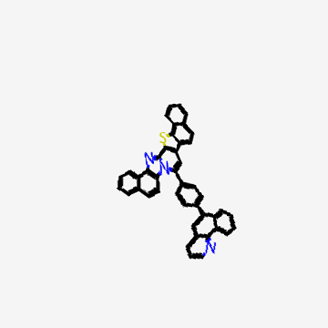 c1ccc2c(c1)ccc1c2nc2c3sc4c5ccccc5ccc4c3cc(-c3ccc(-c4cc5cccnc5c5ccccc45)cc3)n12